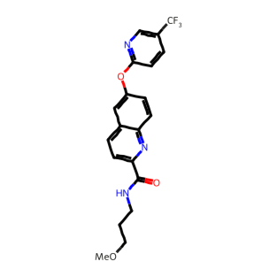 COCCCNC(=O)c1ccc2cc(Oc3ccc(C(F)(F)F)cn3)ccc2n1